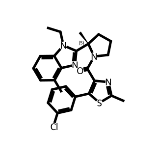 CCn1c([C@]2(C)CCCN2C(=O)c2nc(C)sc2-c2cccc(Cl)c2)nc2c(C)cccc21